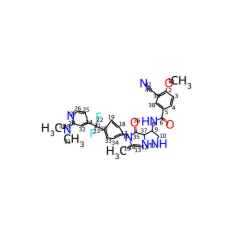 COc1ccc(C(=O)NC2CNN3C=C(C)N(c4ccc(C(F)(F)c5ccnc(N(C)C)c5)cc4)C(=O)C23)cc1C#N